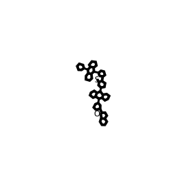 c1ccc(-c2c3ccccc3c(-c3cccc4c3sc3cc(-c5c6ccccc6c(-c6ccc7oc8c9ccccc9ccc8c7c6)c6ccccc56)ccc34)c3ccccc23)cc1